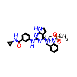 CN(c1ccccc1CNc1nc(Nc2cccc(C(=O)NC3CC3)c2)nc2[nH]ccc12)S(C)(=O)=O